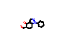 O=CC1CCc2c(cnn2-c2ccccc2)C1=O